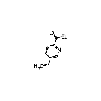 C=Cc1ccc(C(=O)CC)nc1